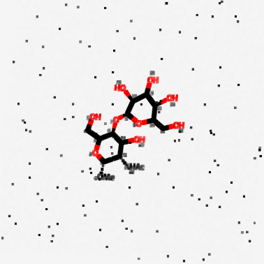 CO[C@@H]1OC(CO)[C@@H](O[C@@H]2OC(CO)[C@H](O)C(O)[C@@H]2O)C(O)[C@@H]1NC(C)=O